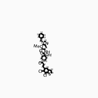 COC(=O)[C@H](Cc1cn(Cc2ccccc2)cn1)NC(=O)C1(O)CCN(C(=O)C=Cc2cc3ccsc3c(Cl)c2Cl)CC1